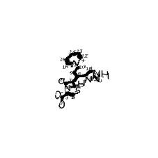 O=C([O-])C1=CS[C@@H]2/C(=C(/CC[n+]3ccccc3)c3c[nH]nn3)C(=O)N12